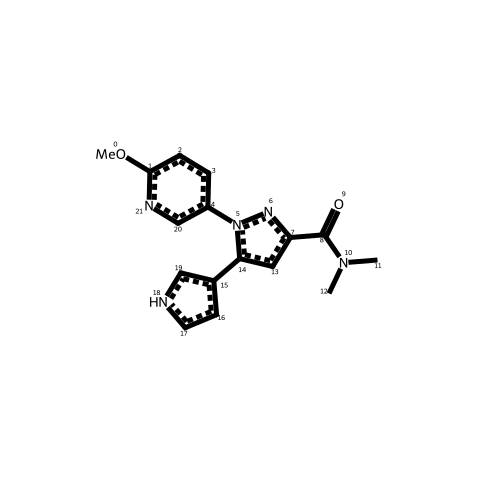 COc1ccc(-n2nc(C(=O)N(C)C)cc2-c2cc[nH]c2)cn1